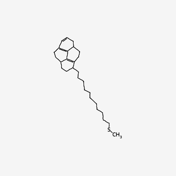 CSCCCCCCCCCCCC1CCC2CCC3=C4C2=C1CCC4CC=C3